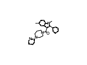 Cc1ccc2c(c1)c(C(=O)N1CCCN(c3ccccn3)CC1)c(-c1ccccc1)n2C